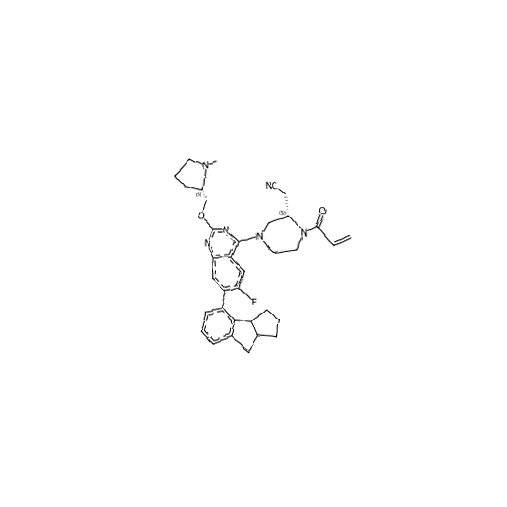 C=CC(=O)N1CCN(c2nc(OC[C@@H]3CCCN3C)nc3cc(-c4cccc5c4C4CCCC4C5)c(F)cc23)C[C@@H]1CC#N